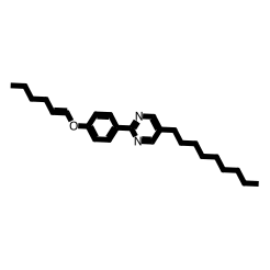 CCCC/C=C/Oc1ccc(-c2ncc(CCCCCCCCC)cn2)cc1